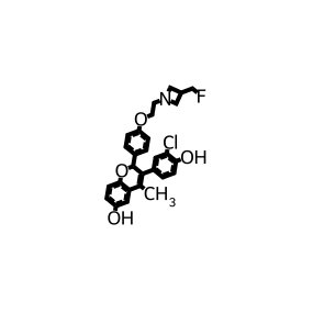 CC1=C(c2ccc(O)c(Cl)c2)C(c2ccc(OCCN3CC(CF)C3)cc2)Oc2ccc(O)cc21